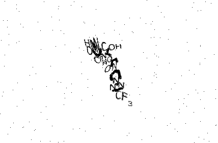 CC(O)C(CO[C@@H]1CCN(C2CCN(c3ncc(C(F)(F)F)cn3)CC2)C1=O)Nc1cn[nH]c(=O)c1C(F)(F)F